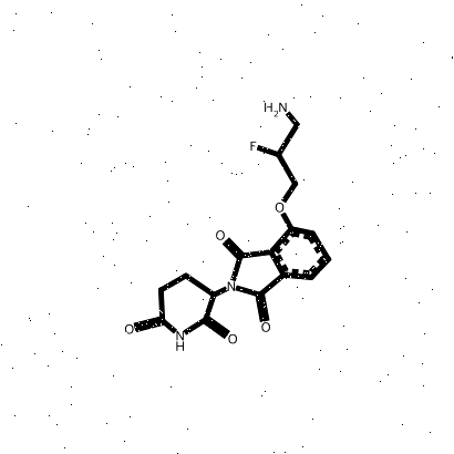 NCC(F)COc1cccc2c1C(=O)N(C1CCC(=O)NC1=O)C2=O